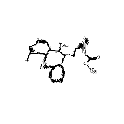 CC1=CC=CC2C1Oc1ccccc1C(CCN(C)C(=O)OC(C)(C)C)C2O